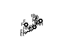 CCN(CC)CCCN(Cc1ccc(C(=O)Nc2ccccc2NC(=O)OC(C)(C)C)nc1)C(=O)Nc1ccc(F)c(F)c1